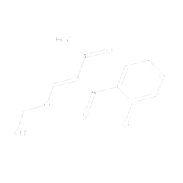 CCO/C=C(/C(C)=O)C(=O)c1ccccc1Cl